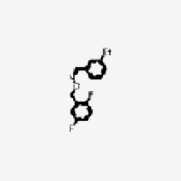 CCc1cccc(/[C]=N\OCc2cc(F)ccc2F)c1